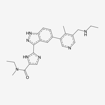 CCNCc1cncc(-c2ccc3[nH]nc(-c4ncc(C(=O)N(C)CC)[nH]4)c3c2)c1C